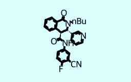 CCCCN1C(=O)c2ccccc2[C@H](C(=O)Nc2ccc(F)c(C#N)c2)[C@H]1c1cccnc1